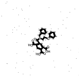 O=C(O)c1cc(C(=O)O)c(C(=O)N(CCOc2ccccc2)Cc2ccccc2)cc1C(=O)O